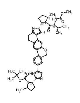 COC(=O)N[C@H](C(=O)N1[C@@H](C)CC[C@H]1c1nc2c([nH]1)-c1cc3c(cc1CC2)-c1ccc(-c2cnc([C@@H]4CCC(C)N4C(=O)OC(C)(C)C)[nH]2)cc1CO3)C(C)C